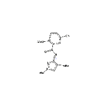 CCCCc1cn(C(C)(C)C)s/c1=N\C(=O)c1cc(C#N)ccc1OC